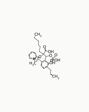 C=CCc1ccc(C)c(C(OS(=O)(=O)O)C(CCCCCC)(Oc2ccccc2C)C(=O)O)c1O